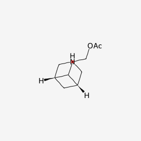 CC(=O)OCCC1[C@@H]2CNC[C@H]1C2